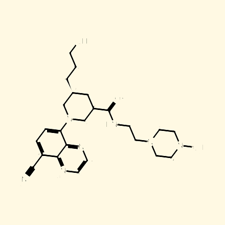 CCCC[C@H]1CC(C(=O)NCCN2CCN(C)CC2)CN(c2ccc(C#N)c3nccnc23)C1